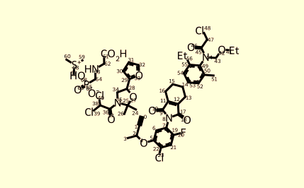 C#CC(C)Oc1cc(N2C(=O)C3=C(CCCC3)C2=O)c(F)cc1Cl.CC1(C)OC(c2ccco2)CN1C(=O)C(Cl)Cl.CCOCN(C(=O)CCl)c1c(C)cccc1CC.C[S+](C)C.O=C(O)CNCP(=O)([O-])O